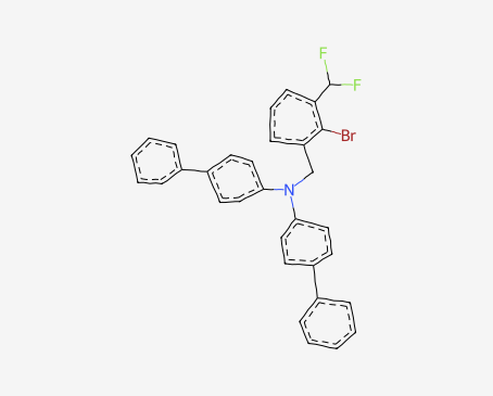 FC(F)c1cccc(CN(c2ccc(-c3ccccc3)cc2)c2ccc(-c3ccccc3)cc2)c1Br